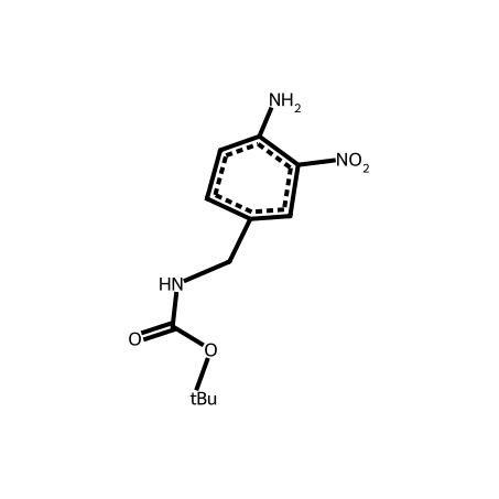 CC(C)(C)OC(=O)NCc1ccc(N)c([N+](=O)[O-])c1